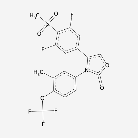 Cc1cc(-n2c(-c3cc(F)c(S(C)(=O)=O)c(F)c3)coc2=O)ccc1OC(F)(F)F